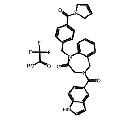 O=C(O)C(F)(F)F.O=C(c1ccc(CN2C(=O)CN(C(=O)c3ccc4[nH]ccc4c3)Cc3ccccc32)cc1)N1CC=CC1